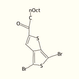 CCCCCCCCCC(=O)c1cc2c(Br)sc(Br)c2s1